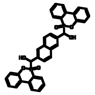 O=P1(C(O)c2ccc3cc(C(O)P4(=O)Oc5ccccc5-c5ccccc54)ccc3c2)Oc2ccccc2-c2ccccc21